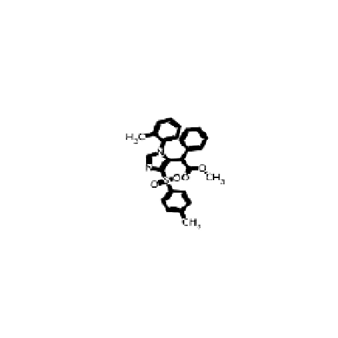 COC(=O)C(c1ccccc1)c1c(S(=O)(=O)c2ccc(C)cc2)ncn1-c1ccccc1C